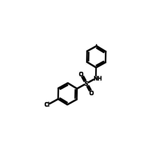 O=S(=O)(Nc1cc[c]cc1)c1ccc(Cl)cc1